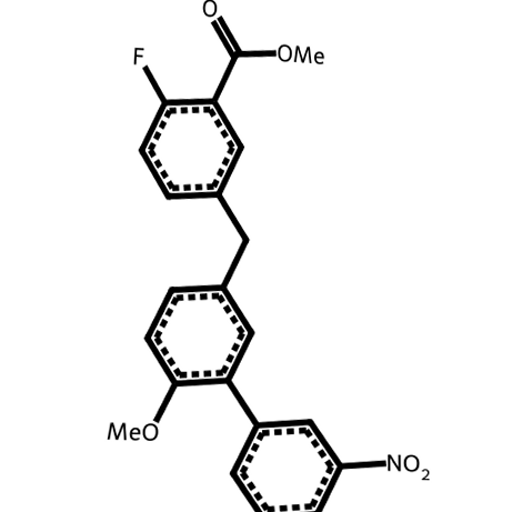 COC(=O)c1cc(Cc2ccc(OC)c(-c3cccc([N+](=O)[O-])c3)c2)ccc1F